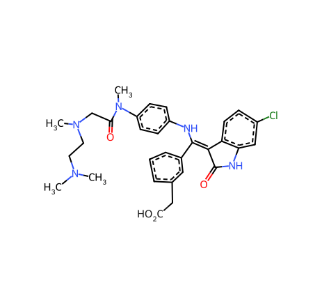 CN(C)CCN(C)CC(=O)N(C)c1ccc(NC(=C2C(=O)Nc3cc(Cl)ccc32)c2cccc(CC(=O)O)c2)cc1